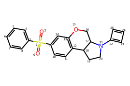 O=S(=O)(c1ccccc1)c1ccc2c(c1)OCC1C2CCN1C1=CC=C1